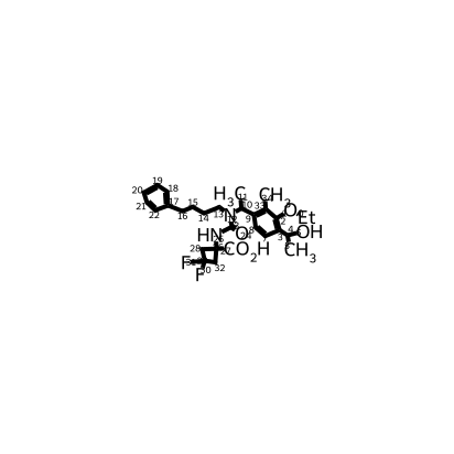 CCOc1c(C(C)O)ccc(C(C)N(CCCCc2ccccc2)C(=O)NC2(C(=O)O)CC(F)(F)C2)c1C